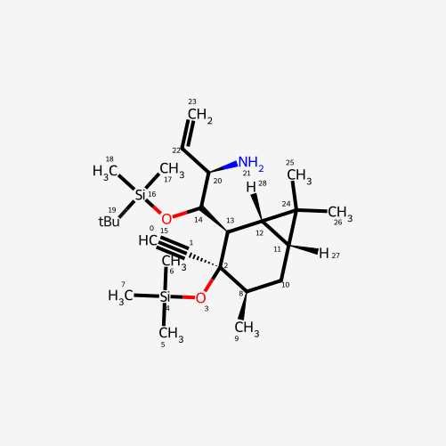 C#C[C@@]1(O[Si](C)(C)C)[C@H](C)C[C@@H]2[C@H]([C@@H]1C(O[Si](C)(C)C(C)(C)C)[C@H](N)C=C)C2(C)C